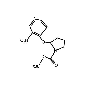 CC(C)(C)OC(=O)N1CCCC1Oc1ccncc1[N+](=O)[O-]